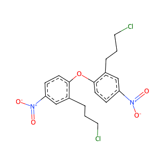 O=[N+]([O-])c1ccc(Oc2ccc([N+](=O)[O-])cc2CCCCl)c(CCCCl)c1